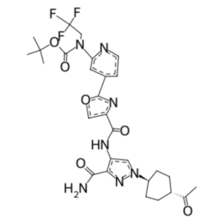 CC(=O)[C@H]1CC[C@H](n2cc(NC(=O)c3coc(-c4ccnc(N(CC(F)(F)F)C(=O)OC(C)(C)C)c4)n3)c(C(N)=O)n2)CC1